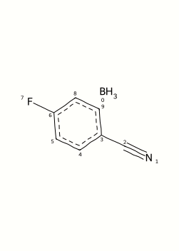 B.N#Cc1ccc(F)cc1